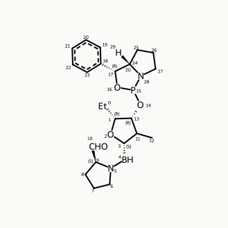 CC[C@H]1O[C@@H](BN2CCC[C@H]2C=O)C(C)[C@H]1OP1O[C@H](c2ccccc2)[C@@H]2CCCN21